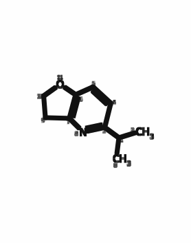 CC(C)c1ccc2c(n1)CCO2